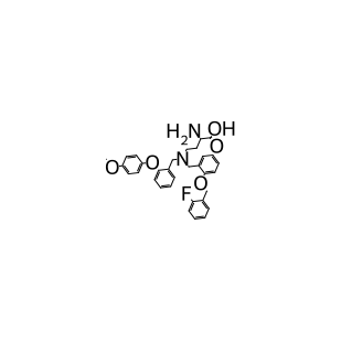 COc1ccc(Oc2ccccc2CN(CCC(N)C(=O)O)Cc2ccccc2OCc2ccccc2F)cc1